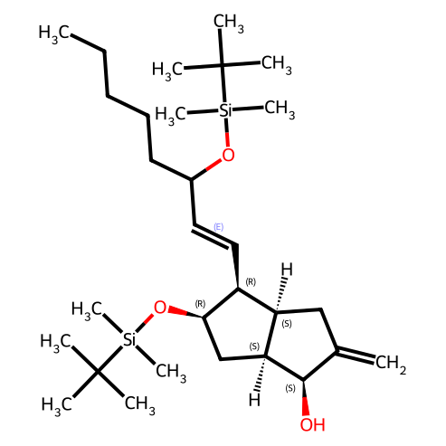 C=C1C[C@@H]2[C@H](/C=C/C(CCCCC)O[Si](C)(C)C(C)(C)C)[C@H](O[Si](C)(C)C(C)(C)C)C[C@@H]2[C@@H]1O